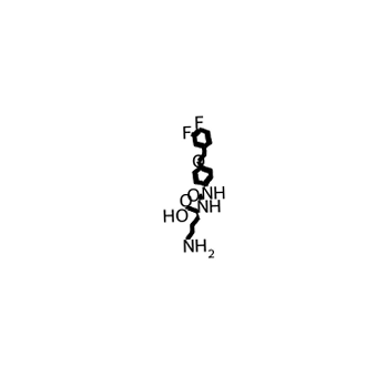 NCCCC[C@H](NC(=O)Nc1ccc(OCc2ccc(F)c(F)c2)cc1)C(=O)O